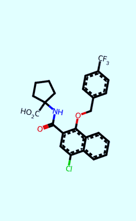 O=C(NC1(C(=O)O)CCCC1)c1cc(Cl)c2ccccc2c1OCc1ccc(C(F)(F)F)cc1